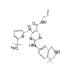 C=CCNC(=O)c1cnc(Nc2ccc3c(c2)CNCC3(C)C)nc1Nc1cccc(C(C)(C)O)n1